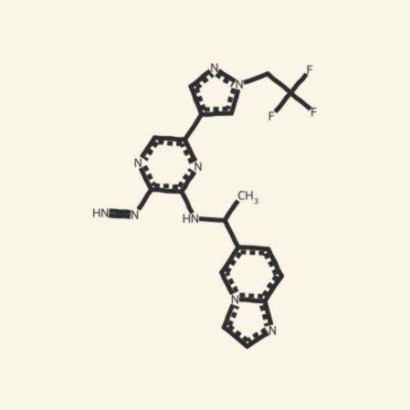 CC(Nc1nc(-c2cnn(CC(F)(F)F)c2)cnc1N=N)c1ccc2nccn2c1